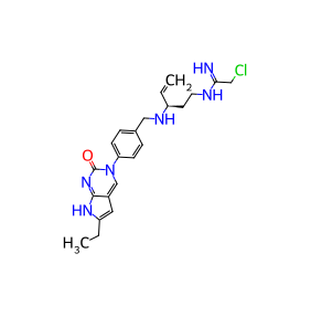 C=C[C@@H](CCNC(=N)CCl)NCc1ccc(-n2cc3cc(CC)[nH]c3nc2=O)cc1